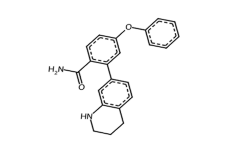 NC(=O)c1ccc(Oc2ccccc2)cc1-c1ccc2c(c1)NCCC2